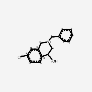 OC1CN(Cc2ccccc2)Cc2cc(Cl)ccc21